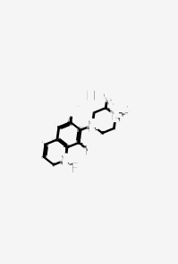 CCN1CC=Cc2cc(F)c(N3CCN(C(C)=O)C(C)C3)c(F)c21